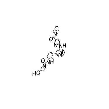 Cc1c(NC(=O)N2CCC(O)C2)cccc1-c1cc(Nc2ccc(C(=O)N3CCOCC3)cn2)c2nccn2c1